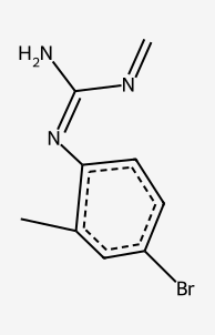 C=N/C(N)=N\c1ccc(Br)cc1C